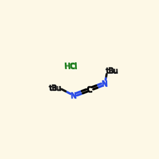 CC(C)(C)N=C=NC(C)(C)C.Cl